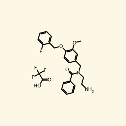 COc1cc(CN(CCN)C(=O)c2ccccc2)ccc1OCc1ccccc1F.O=C(O)C(F)(F)F